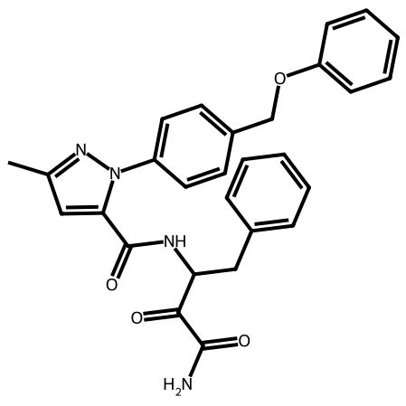 Cc1cc(C(=O)NC(Cc2ccccc2)C(=O)C(N)=O)n(-c2ccc(COc3ccccc3)cc2)n1